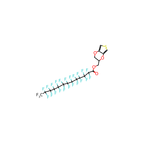 O=C(OCC1COc2cscc2O1)C(F)(F)C(F)(F)C(F)(F)C(F)(F)C(F)(F)C(F)(F)C(F)(F)C(F)(F)C(F)(F)C(F)(F)C(F)(F)C(F)(F)F